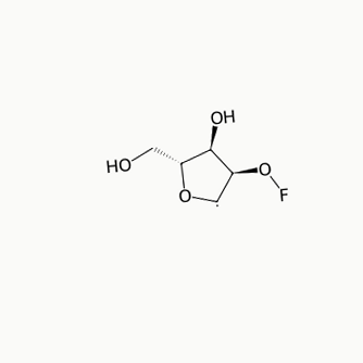 OC[C@H]1O[CH][C@H](OF)[C@@H]1O